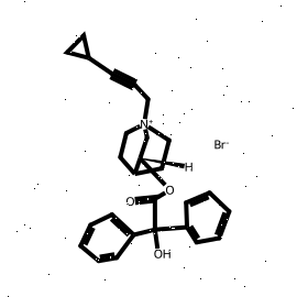 O=C(O[C@H]1C[N+]2(CC#CC3CC3)CCC1CC2)C(O)(c1ccccc1)c1ccccc1.[Br-]